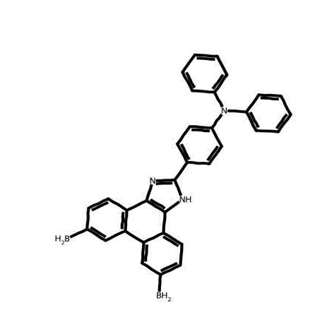 Bc1ccc2c(c1)c1cc(B)ccc1c1[nH]c(-c3ccc(N(c4ccccc4)c4ccccc4)cc3)nc21